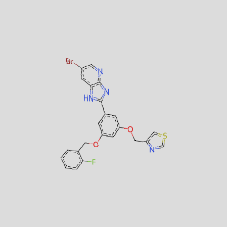 Fc1ccccc1COc1cc(OCc2cscn2)cc(-c2nc3ncc(Br)cc3[nH]2)c1